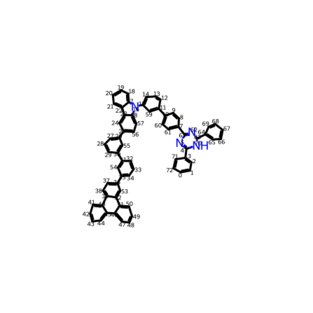 c1ccc(C2=NC(c3ccc(-c4cccc(-n5c6ccccc6c6cc(-c7cccc(-c8cccc(-c9ccc%10c%11ccccc%11c%11ccccc%11c%10c9)c8)c7)ccc65)c4)cc3)=NC(c3ccccc3)N2)cc1